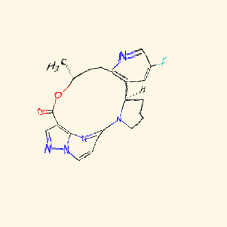 C[C@@H]1CCc2ncc(F)cc2[C@H]2CCCN2c2ccn3ncc(c3n2)C(=O)O1